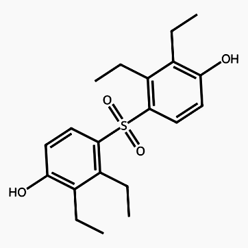 CCc1c(O)ccc(S(=O)(=O)c2ccc(O)c(CC)c2CC)c1CC